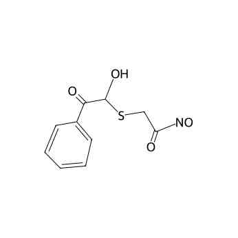 O=NC(=O)CSC(O)C(=O)c1ccccc1